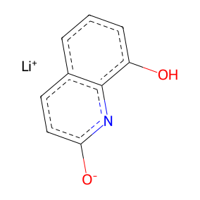 [Li+].[O-]c1ccc2cccc(O)c2n1